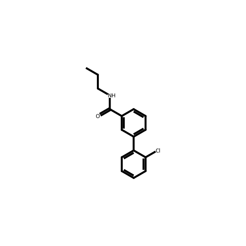 CCCNC(=O)c1cccc(-c2ccccc2Cl)c1